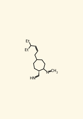 C=NC1CCC(C/C=C\C(CC)CC)CC[C@@H]1C=N